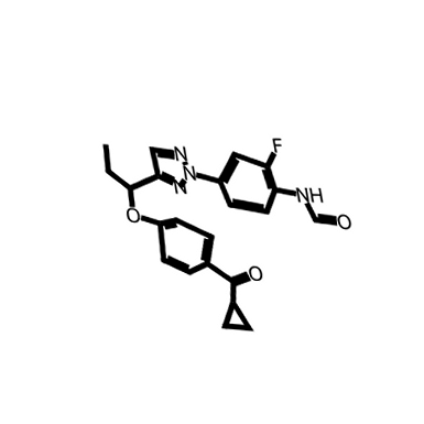 CCC(Oc1ccc(C(=O)C2CC2)cc1)c1cnn(-c2ccc(NC=O)c(F)c2)n1